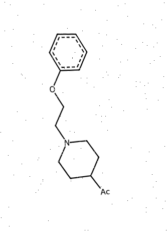 CC(=O)C1CCN(CCOc2ccccc2)CC1